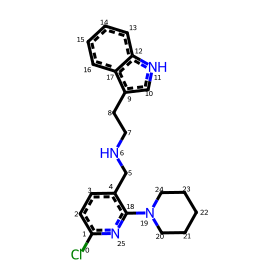 Clc1ccc(CNCCc2c[nH]c3ccccc23)c(N2CCCCC2)n1